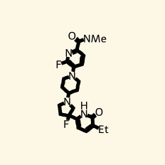 CCc1ccc(C2(F)CCN(C3CCN(c4ccc(C(=O)NC)nc4F)CC3)C2)[nH]c1=O